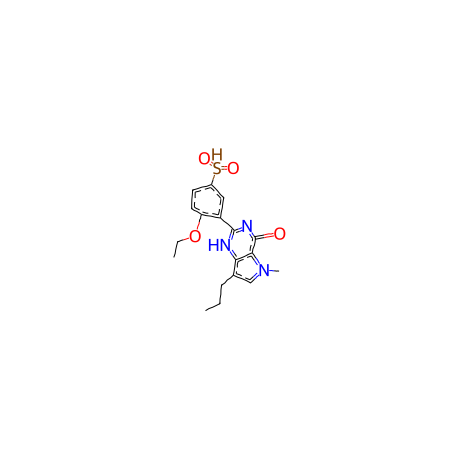 CCCc1cn(C)c2c(=O)nc(-c3cc([SH](=O)=O)ccc3OCC)[nH]c12